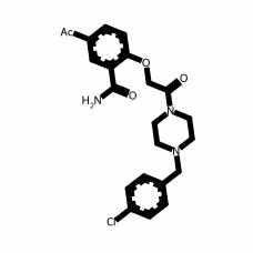 CC(=O)c1ccc(OCC(=O)N2CCN(Cc3ccc(Cl)cc3)CC2)c(C(N)=O)c1